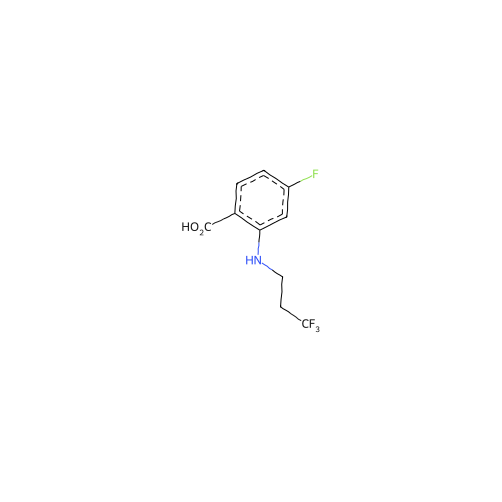 O=C(O)c1ccc(F)cc1NCCC(F)(F)F